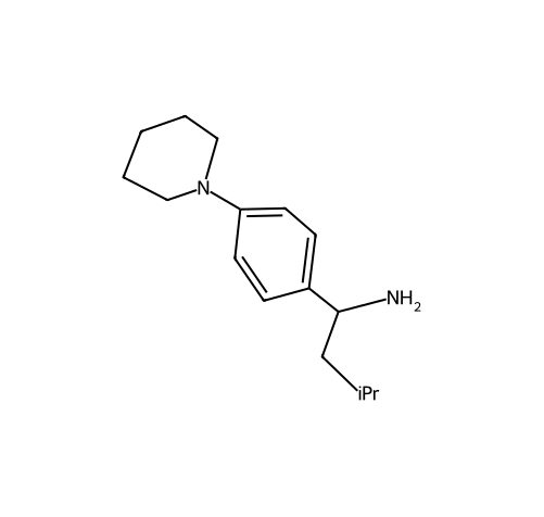 CC(C)CC(N)c1ccc(N2CCCCC2)cc1